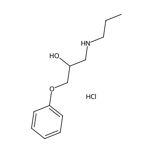 CCCNCC(O)COc1ccccc1.Cl